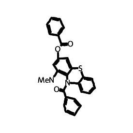 CNc1cc(OC(=O)c2ccccc2)cc2c1N(C(=O)c1ccccc1)c1ccccc1S2